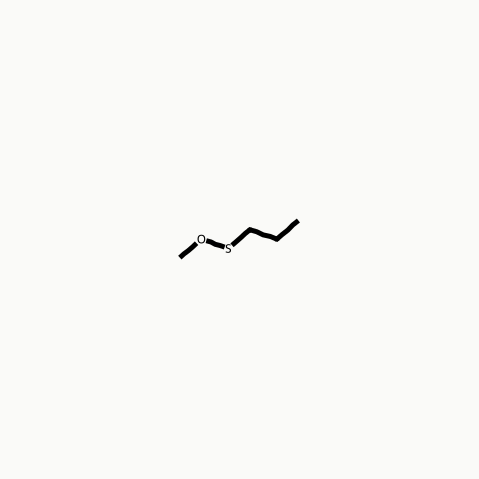 CCCSOC